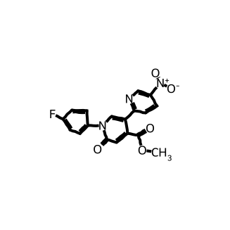 COC(=O)c1cc(=O)n(-c2ccc(F)cc2)cc1-c1ccc([N+](=O)[O-])cn1